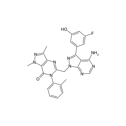 Cc1ccccc1-n1c(Cn2nc(-c3cc(O)cc(F)c3)c3c(N)ncnc32)nc2c(C)nn(C)c2c1=O